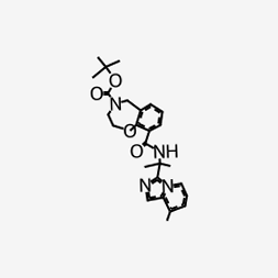 Cc1cccn2c(C(C)(C)NC(=O)c3cccc4c3OCCN(C(=O)OC(C)(C)C)C4)ncc12